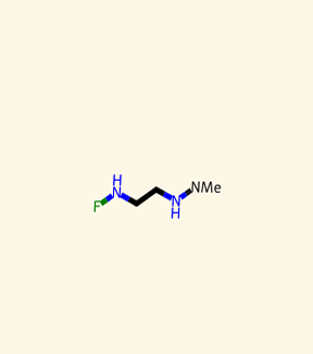 CNNCCNF